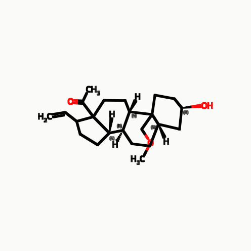 C=CC1CC[C@H]2[C@@H]3CC[C@H]4C[C@H](O)CCC4(COC)[C@H]3CCC12C(C)=O